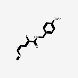 C=N/C=C\C=C(/I)C(=O)NCc1ccc(OC)cc1